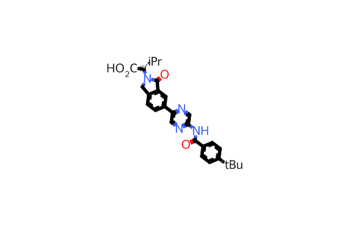 CC(C)[C@@H](C(=O)O)N1Cc2ccc(-c3cnc(NC(=O)c4ccc(C(C)(C)C)cc4)cn3)cc2C1=O